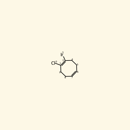 ClC1=[C]([Ir])CCC=CCC1